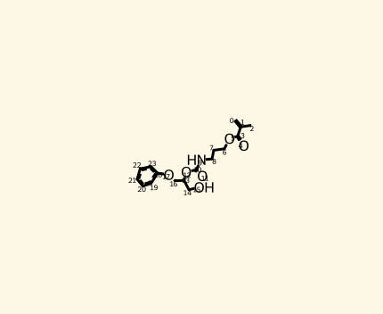 C=C(C)C(=O)OCCCNC(=O)OC(CO)COc1ccccc1